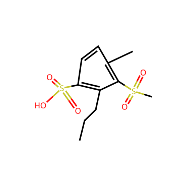 CCCc1c(S(=O)(=O)O)ccc(C)c1S(C)(=O)=O